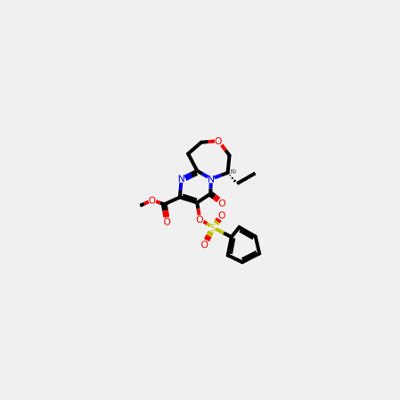 CC[C@H]1COCCc2nc(C(=O)OC)c(OS(=O)(=O)c3ccccc3)c(=O)n21